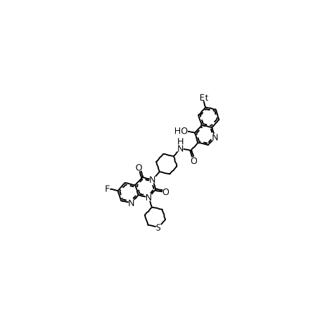 CCc1ccc2ncc(C(=O)NC3CCC(n4c(=O)c5cc(F)cnc5n(C5CCSCC5)c4=O)CC3)c(O)c2c1